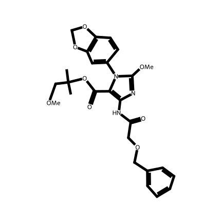 COCC(C)(C)OC(=O)c1c(NC(=O)COCc2ccccc2)nc(OC)n1-c1ccc2c(c1)OCO2